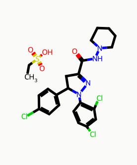 CCS(=O)(=O)O.O=C(NN1CCCCC1)C1=NN(c2ccc(Cl)cc2Cl)C(c2ccc(Cl)cc2)C1